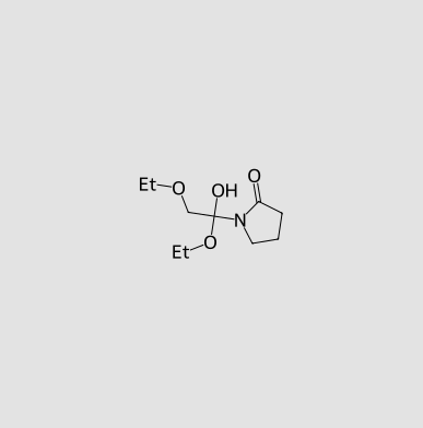 CCOCC(O)(OCC)N1CCCC1=O